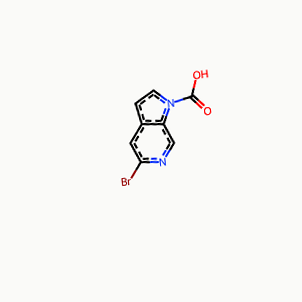 O=C(O)n1ccc2cc(Br)ncc21